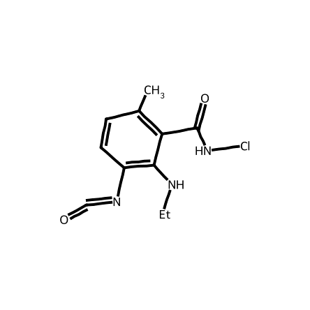 CCNc1c(N=C=O)ccc(C)c1C(=O)NCl